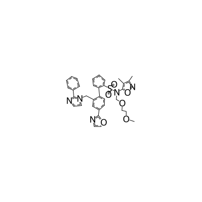 COCCOCN(c1onc(C)c1C)S(=O)(=O)c1ccccc1-c1ccc(-c2ncco2)cc1Cn1ccnc1-c1ccccc1